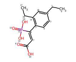 CCc1ccc(C(=CC(=O)O)P(=O)(O)O)c(CC)c1